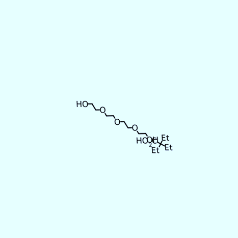 CCC(CC)(CC)C(=O)O.OCCOCCOCCOCCO